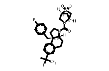 CC(F)(c1ccc2c(c1)CC[C@H]1N(C(=O)N3C[C@@H]4C[C@H]3CS4(=O)=O)CC[C@@]21Cc1ccc(F)cc1)C(F)(F)F